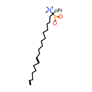 C=CCCCCC=CCCCCCCCCCCC(CCC)(P(=O)=O)[N+](C)(C)C